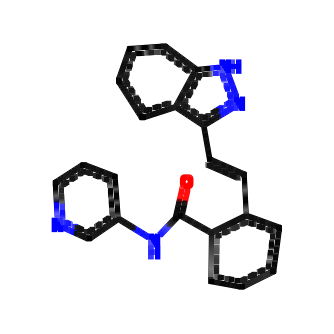 O=C(Nc1cccnc1)c1ccccc1C=Cc1n[nH]c2ccccc12